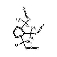 CC(C)(N=C=O)c1cccc(C(C)(C)N=C=O)c1C(C)(C)N=C=O